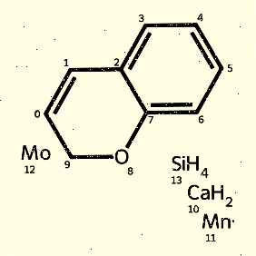 C1=Cc2ccccc2OC1.[CaH2].[Mn].[Mo].[SiH4]